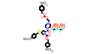 COc1ccc(CS[C@@]2(S)C[C@@H](C(=O)N3CCN(CCOC(=O)OCc4ccc([N+](=O)[O-])cc4)CC3)N(C(=O)OCc3ccc([N+](=O)[O-])cc3)C2)cc1.O=S(=O)(O)C(F)(F)F.O=S(=O)(O)C(F)(F)F